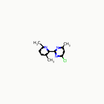 Cc1cc(Cl)nc(-c2nc(C)ccc2C)n1